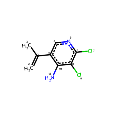 C=C(C)c1cnc(Cl)c(Cl)c1N